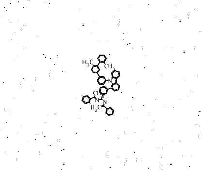 C=C(/N=C(\N=C(/C)c1ccccc1)c1cccc(-c2cccc3c4ccccc4n(-c4cccc(-c5ccc(C)c(-c6ccccc6C)c5)c4)c23)c1)c1ccccc1